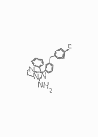 NC1=NC(c2ccccc2)(c2cccc(Cc3ccc(F)cc3)c2)C2=NCCCN12